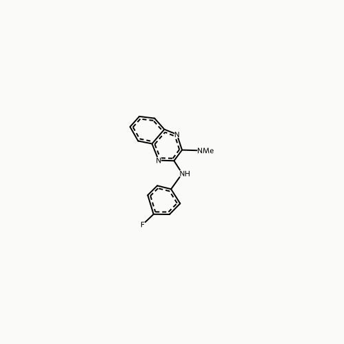 CNc1nc2ccccc2nc1Nc1ccc(F)cc1